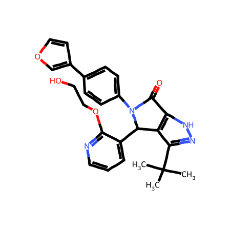 CC(C)(C)c1n[nH]c2c1C(c1cccnc1OCCO)N(c1ccc(-c3ccoc3)cc1)C2=O